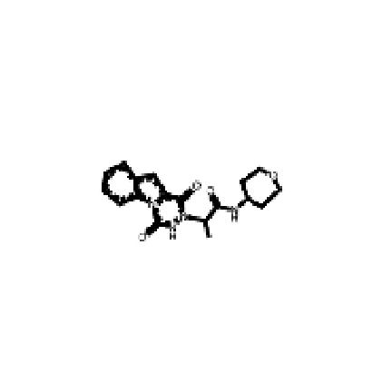 CC(C(=O)NC1CCOCC1)n1[nH]c(=O)n2c(cc3ccccc32)c1=O